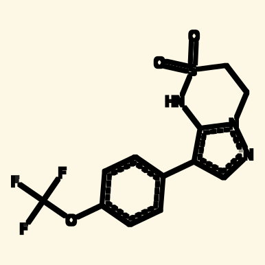 O=S1(=O)CCn2ncc(-c3ccc(OC(F)(F)F)cc3)c2N1